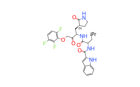 CC(C)CC(NC(=O)c1cc2ccccc2[nH]1)C(=O)NC(C[C@@H]1CCNC1=O)C(=O)COc1c(F)ccc(F)c1F